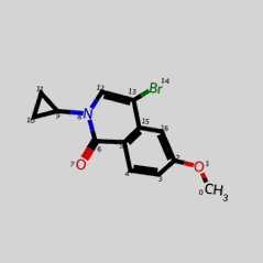 COc1ccc2c(=O)n(C3CC3)cc(Br)c2c1